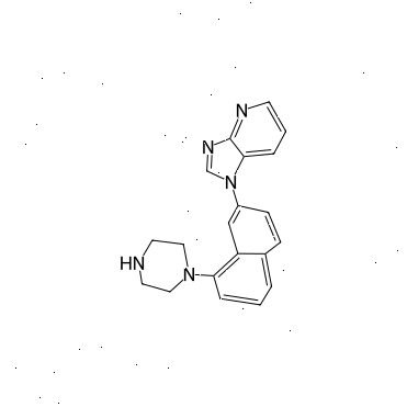 c1cc(N2CCNCC2)c2cc(-n3cnc4ncccc43)ccc2c1